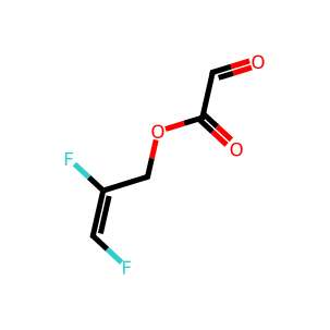 O=CC(=O)OC/C(F)=C\F